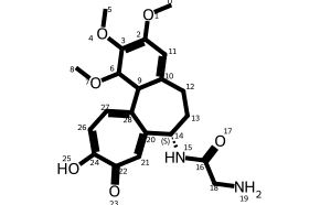 COC1=C(OC)C(OC)C2C(=C1)CC[C@H](NC(=O)CN)c1cc(=O)c(O)ccc12